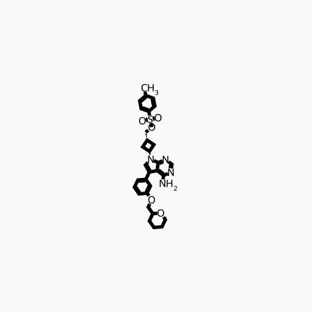 Cc1ccc(S(=O)(=O)OC[C@H]2C[C@@H](n3cc(-c4cccc(OCC5CCCCO5)c4)c4c(N)ncnc43)C2)cc1